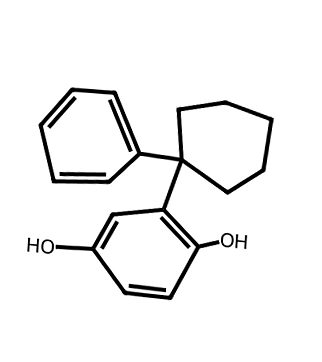 Oc1ccc(O)c(C2(c3ccccc3)CCCCC2)c1